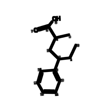 CCC(CC(C)C(=O)O)c1ccccc1